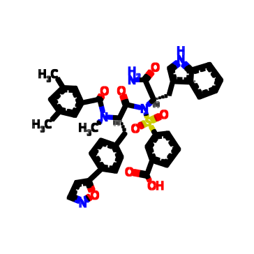 Cc1cc(C)cc(C(=O)N(C)[C@@H](Cc2ccc(-c3ccno3)cc2)C(=O)N([C@@H](Cc2c[nH]c3ccccc23)C(N)=O)S(=O)(=O)c2cccc(C(=O)O)c2)c1